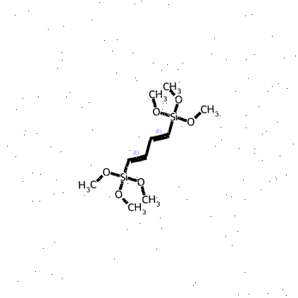 CO[Si](/C=C/C=C/[Si](OC)(OC)OC)(OC)OC